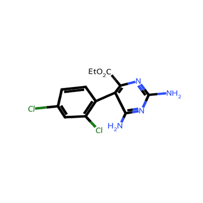 CCOC(=O)c1nc(N)nc(N)c1-c1ccc(Cl)cc1Cl